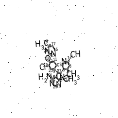 C#Cc1cc(C)c(-c2c(-c3ccc(Oc4nccc(C)n4)c(Cl)c3)c3c(N)ncnc3n2C)cn1